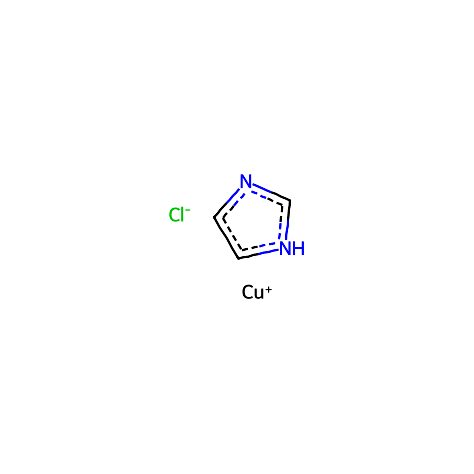 [Cl-].[Cu+].c1c[nH]cn1